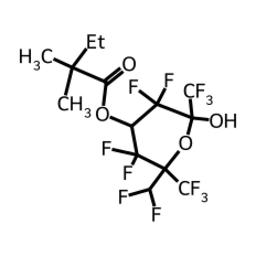 CCC(C)(C)C(=O)OC1C(F)(F)C(O)(C(F)(F)F)OC(C(F)F)(C(F)(F)F)C1(F)F